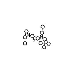 c1ccc(-c2ccc(N(c3ccc4c(c3)C(c3ccccc3)(c3ccccc3)c3ccccc3-4)c3ccc4sc5cc(-n6c7ccccc7c7ccc(-c8ccccc8)cc76)ccc5c4c3)cc2)cc1